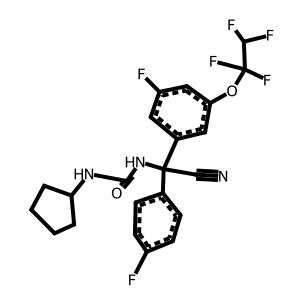 N#CC(NC(=O)NC1CCCC1)(c1ccc(F)cc1)c1cc(F)cc(OC(F)(F)C(F)F)c1